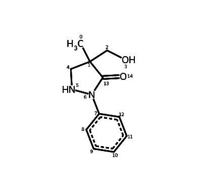 CC1(CO)CNN(c2ccccc2)C1=O